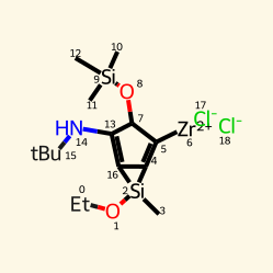 CCO[Si]1(C)C2=[C]([Zr+2])C(O[Si](C)(C)C)C(NC(C)(C)C)=C21.[Cl-].[Cl-]